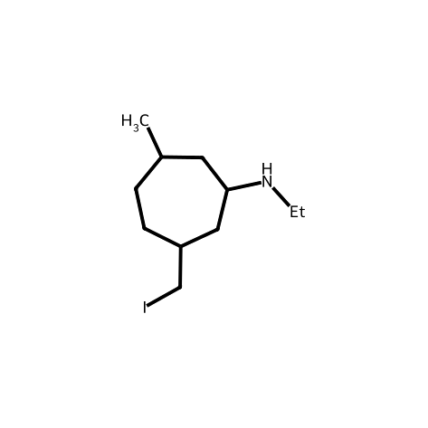 CCNC1CC(C)CCC(CI)C1